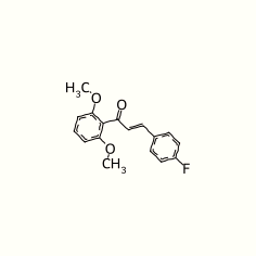 COc1cccc(OC)c1C(=O)/C=C/c1ccc(F)cc1